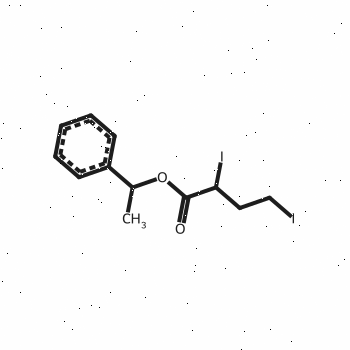 CC(OC(=O)C(I)CCI)c1ccccc1